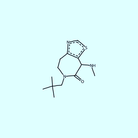 CNC1C(=O)N(CC(C)(C)C)CCc2ncsc21